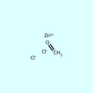 C=O.[Cl-].[Cl-].[Zn+2]